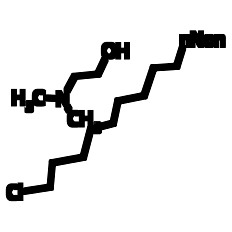 CCCCCCCCCCCCCCCCCCCl.CN(C)CCO